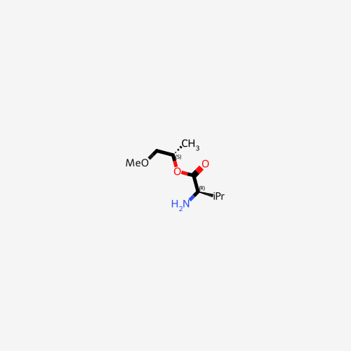 COC[C@H](C)OC(=O)[C@H](N)C(C)C